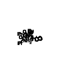 CC[C@H](C)[C@H](NC(=O)[C@@H](NC(=O)[C@@H](N)CC(C)C)C(C)C)C(=O)NCC(=O)C1=CCc2ccccc2[CH]1